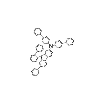 c1ccc(-c2ccc(N(c3ccc(-c4ccccc4)cc3)c3ccc4c(c3)C3(c5ccccc5-c5ccccc53)c3cc(-c5ccccc5)ccc3-4)cc2)cc1